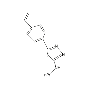 C=Cc1ccc(-c2nnc(NCCC)s2)cc1